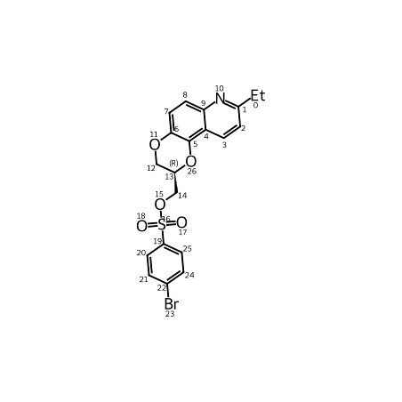 CCc1ccc2c3c(ccc2n1)OC[C@H](COS(=O)(=O)c1ccc(Br)cc1)O3